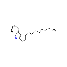 CCCCCCCCC1CCC2=C1c1ccccc1[N]2